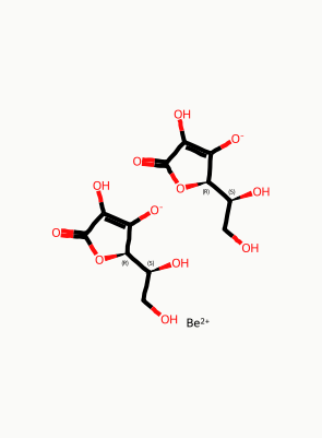 O=C1O[C@H]([C@@H](O)CO)C([O-])=C1O.O=C1O[C@H]([C@@H](O)CO)C([O-])=C1O.[Be+2]